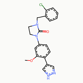 COc1cc(N2CCN(Cc3ccccc3Cl)C2=O)ccc1-c1cn[nH]c1